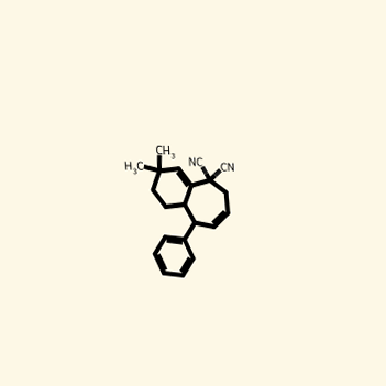 CC1(C)C=C2C(CC1)C(c1ccccc1)C=CCC2(C#N)C#N